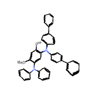 COc1cc(OC)c(N(c2ccc(-c3ccccc3)cc2)c2ccc(-c3ccccc3)cc2)cc1N(c1ccccc1)c1ccccc1